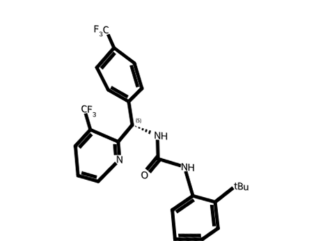 CC(C)(C)c1ccccc1NC(=O)N[C@@H](c1ccc(C(F)(F)F)cc1)c1ncccc1C(F)(F)F